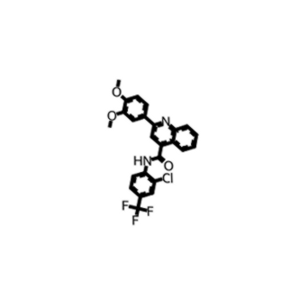 COc1ccc(-c2cc(C(=O)Nc3ccc(C(F)(F)F)cc3Cl)c3ccccc3n2)cc1OC